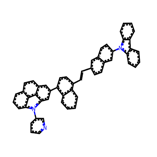 C(=C\c1ccc(-c2cc3ccc4cccc5c4c3c(c2)n5-c2cccnc2)c2ccccc12)/c1ccc2cc(-n3c4ccccc4c4ccccc43)ccc2c1